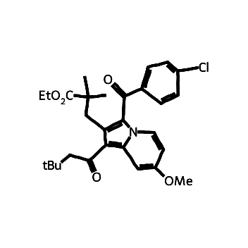 CCOC(=O)C(C)(C)Cc1c(C(=O)CC(C)(C)C)c2cc(OC)ccn2c1C(=O)c1ccc(Cl)cc1